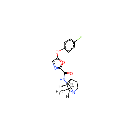 C[C@H]1[C@H](NC(=O)c2ncc(Oc3ccc(F)cc3)o2)C2CCN1CC2